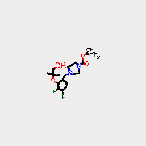 CC(C)(CO)Oc1c(CN2CCN(C(=O)OC(C(F)(F)F)C(F)(F)F)CC2)ccc(F)c1F